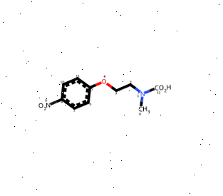 CN(CCOc1ccc([N+](=O)[O-])cc1)C(=O)O